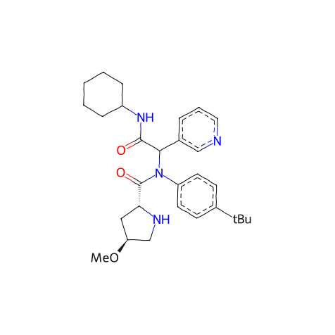 CO[C@@H]1CN[C@@H](C(=O)N(c2ccc(C(C)(C)C)cc2)C(C(=O)NC2CCCCC2)c2cccnc2)C1